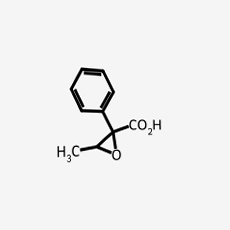 CC1OC1(C(=O)O)c1ccccc1